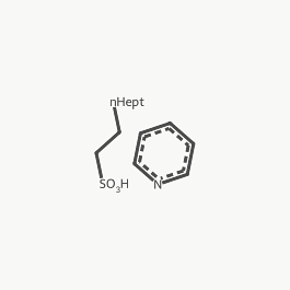 CCCCCCCCCS(=O)(=O)O.c1ccncc1